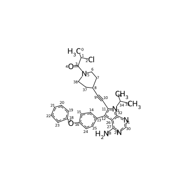 CC(Cl)C(=O)N1CCC(C#Cc2c(-c3ccc(Oc4ccccc4)cc3)c3c(N)ncnc3n2C(C)C)CC1